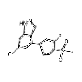 CS(=O)(=O)c1ccc(-c2cc(Cl)cc3[nH]ncc23)cc1F